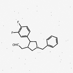 O=CCC1CN(Cc2ccccc2)CC1c1ccc(F)c(F)c1